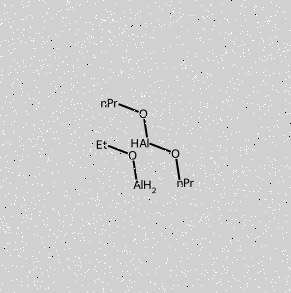 CCC[O][AlH][O]CCC.CC[O][AlH2]